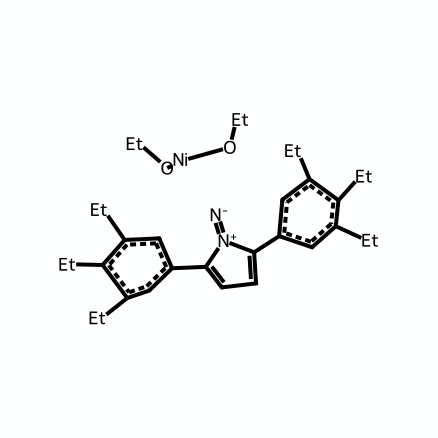 CC[O][Ni][O]CC.CCc1cc(C2=CC=C(c3cc(CC)c(CC)c(CC)c3)[N+]2=[N-])cc(CC)c1CC